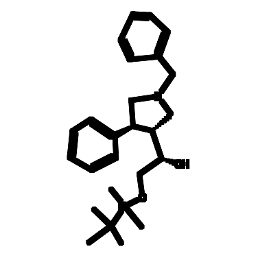 CC(C)(C)[Si](C)(C)OC[C@@H](O)[C@H]1CN(Cc2ccccc2)C[C@@H]1c1ccccc1